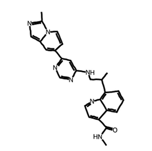 CNC(=O)c1ccnc2c(C(C)CNc3cc(-c4ccn5c(C)ncc5c4)ncn3)cccc12